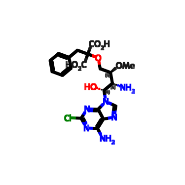 CO[C@H](COC(Cc1ccccc1)(C(=O)O)C(=O)O)[C@H](N)[C@@H](O)n1cnc2c(N)nc(Cl)nc21